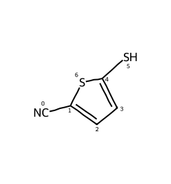 N#Cc1ccc(S)s1